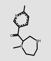 Cc1ccc(C(=O)C2CNCCCN2C)cn1